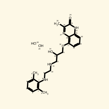 Cc1cccc(C)c1NCCNCC(O)COc1cccc2[nH]c(=O)c(C)nc12.Cl.Cl